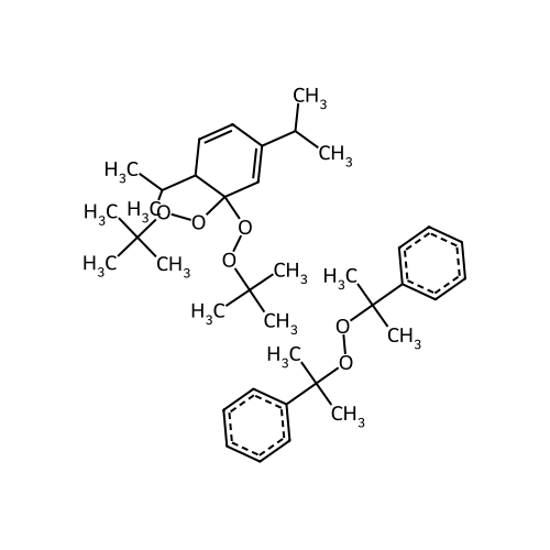 CC(C)(OOC(C)(C)c1ccccc1)c1ccccc1.CC(C)C1=CC(OOC(C)(C)C)(OOC(C)(C)C)C(C(C)C)C=C1